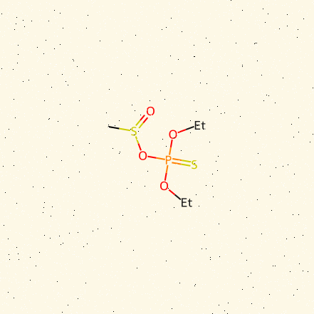 CCOP(=S)(OCC)OS(C)=O